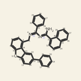 N/C(=N\C(=N/Cc1cccc2oc3ccc(-c4ccccc4)cc3c12)c1ccccc1)c1cccc2ccccc12